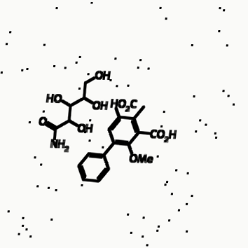 COc1c(-c2ccccc2)cc(C(=O)O)c(C)c1C(=O)O.NC(=O)C(O)C(O)C(O)CO